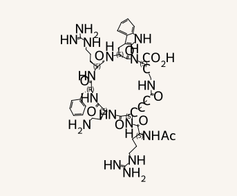 CC(=O)N[C@@H](CCCNC(=N)N)C(=O)N[C@H]1CCCC(=O)NCC[C@@H](C(=O)O)NC(=O)[C@H](Cc2c[nH]c3ccccc23)NC(=O)[C@H](CCCNC(=N)N)NC(=O)[C@@H](Cc2ccccc2)NC(=O)[C@H](CCN)NC1=O